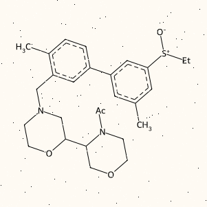 CC[S+]([O-])c1cc(C)cc(-c2ccc(C)c(CN3CCOC(C4COCCN4C(C)=O)C3)c2)c1